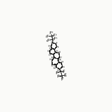 FC(F)(F)C(F)(F)c1ccc2c(ccc3c2ccc2c4ccc(C(F)(F)C(F)(F)F)cc4ccc23)c1